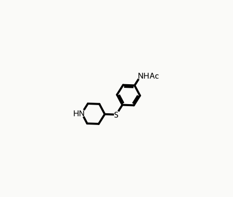 CC(=O)Nc1ccc(SC2CCNCC2)cc1